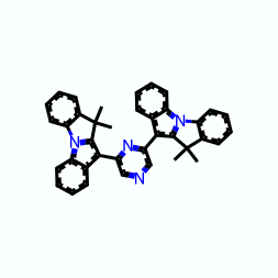 CC1(C)c2ccccc2-n2c1c(-c1cncc(-c3c4n(c5ccccc35)-c3ccccc3C4(C)C)n1)c1ccccc12